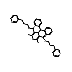 CC1=C(C(=O)OCCCc2cccnc2)C(C(c2ccccc2)c2ccccc2)C(C(=O)OCCCc2cccnc2)=C(C)N1